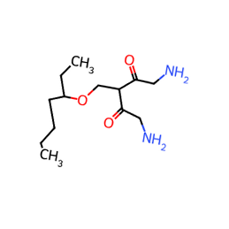 CCCCC(CC)OCC(C(=O)CN)C(=O)CN